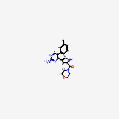 Cc1cccc(-c2cnc(N)nc2-c2c[nH]c(C(=O)N3CCOCC3)c2)c1